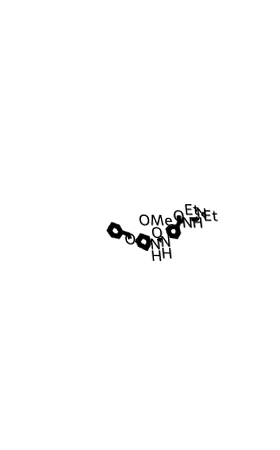 CCN(CC)CCNC(=O)c1ccc(NC(=O)Nc2ccc(OCc3ccccc3)cc2)cc1OC